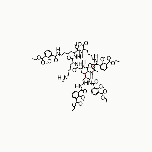 CCOC(=O)c1cccc(C(=O)NCCCCC(NC(=O)C(CCCCNC(=O)c2cccc(C(=O)OCC)c2OC)NC(=O)C(CCCCN)NC(=O)C(CCCCNC(=O)c2cccc(C(=O)OCC)c2OC)NC(=O)C(CCCCNC(=O)c2cccc(C(=O)OCC)c2OC)NC(C)=O)C(=O)O)c1OC